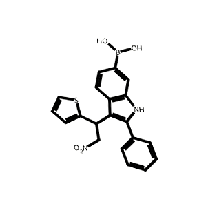 O=[N+]([O-])CC(c1cccs1)c1c(-c2ccccc2)[nH]c2cc(B(O)O)ccc12